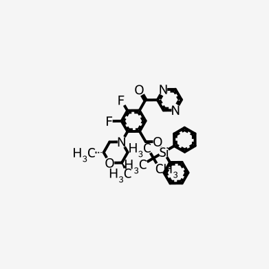 C[C@@H]1CN(c2c(CO[Si](c3ccccc3)(c3ccccc3)C(C)(C)C)cc(C(=O)c3cnccn3)c(F)c2F)C[C@@H](C)O1